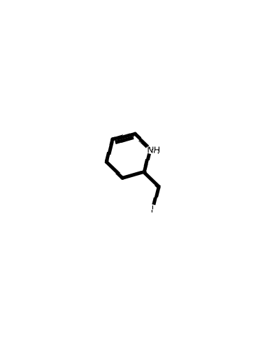 ICC1CCC=CN1